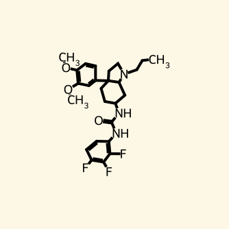 CCCN1CCC2(c3ccc(OC)c(OC)c3)CCC(NC(=O)Nc3ccc(F)c(F)c3F)CC12